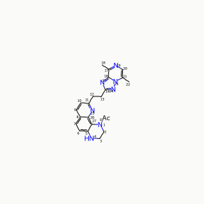 CC(=O)N1CCNc2ccc3ccc(CCc4nc5c(C)ncc(C)n5n4)nc3c21